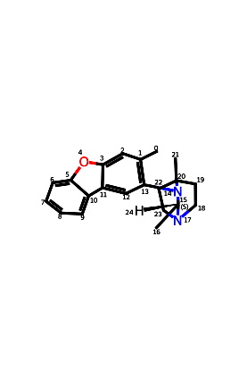 Cc1cc2oc3ccccc3c2cc1N1[C@@H](C)N2CCC1(C)CC2